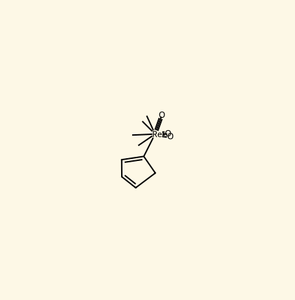 [CH3][Re]([CH3])([CH3])([CH3])([CH3])(=[O])(=[O])(=[O])[C]1=CC=CC1